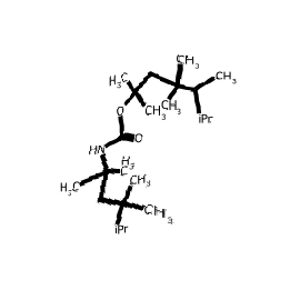 CC(C)C(C)C(C)(C)CC(C)(C)OC(=O)NC(C)(C)CC(C)(C)C(C)C